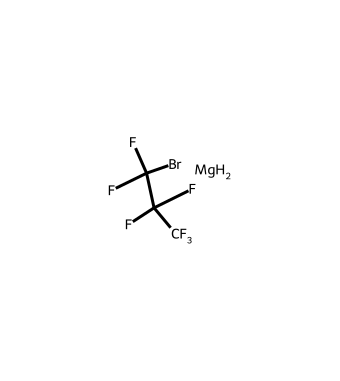 FC(F)(F)C(F)(F)C(F)(F)Br.[MgH2]